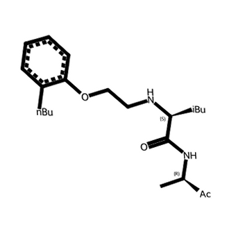 CCCCc1ccccc1OCCN[C@H](C(=O)N[C@H](C)C(C)=O)C(C)CC